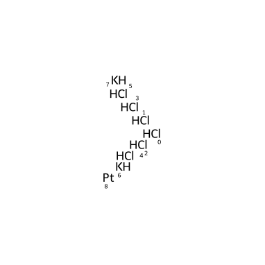 Cl.Cl.Cl.Cl.Cl.Cl.[KH].[KH].[Pt]